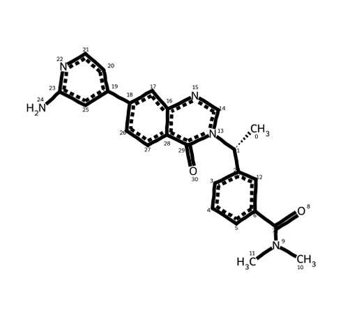 C[C@H](c1cccc(C(=O)N(C)C)c1)n1cnc2cc(-c3ccnc(N)c3)ccc2c1=O